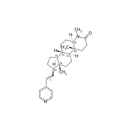 CN1C(=O)CC[C@]2(C)[C@H]3CC[C@]4(C)[C@@H](/C=C/c5ccncc5)CC[C@H]4[C@@H]3CC[C@@H]12